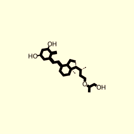 C=C1/C(=C\C=C2CCC[C@@]3(C)C2CC[C@@H]3[C@H](C)CCOC(C)CO)C[C@@H](O)C[C@H]1O